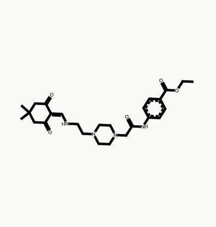 CCOC(=O)c1ccc(NC(=O)CN2CCN(CCNC=C3C(=O)CC(C)(C)CC3=O)CC2)cc1